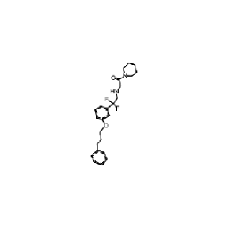 O=C(CNCC(F)(F)c1cccc(OCCCc2ccccc2)c1)N1CCCCC1